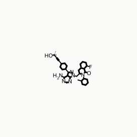 Cc1ccccc1-n1c(Cn2nc(-c3ccc(C#C[C@@H](C)O)cc3)c3c(N)ncnc32)cc2cccc(F)c2c1=O